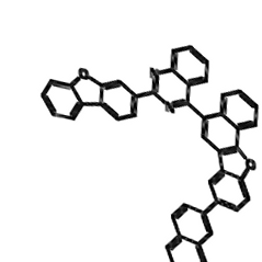 c1ccc2cc(-c3ccc4oc5c6ccccc6c(-c6nc(-c7ccc8c(c7)oc7ccccc78)nc7ccccc67)cc5c4c3)ccc2c1